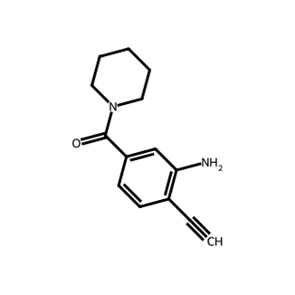 C#Cc1ccc(C(=O)N2CCCCC2)cc1N